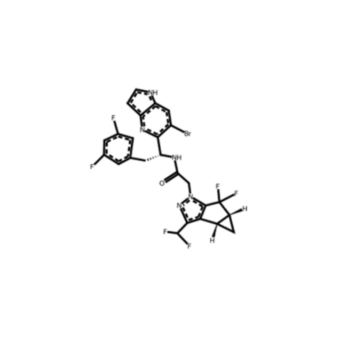 O=C(Cn1nc(C(F)F)c2c1C(F)(F)[C@@H]1C[C@H]21)N[C@H](Cc1cc(F)cc(F)c1)c1nc2cc[nH]c2cc1Br